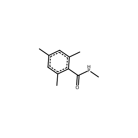 CPC(=O)c1c(C)cc(C)cc1C